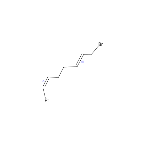 CC/C=C\CC/C=C/CBr